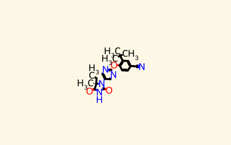 CC[C@]1(C)C(=O)NC(=O)N1c1cnc(Oc2ccc(C#N)cc2C(C)(C)C)nc1